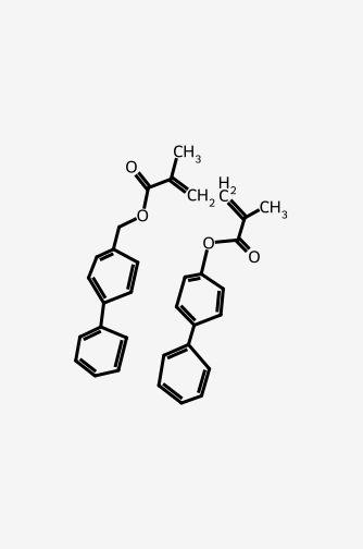 C=C(C)C(=O)OCc1ccc(-c2ccccc2)cc1.C=C(C)C(=O)Oc1ccc(-c2ccccc2)cc1